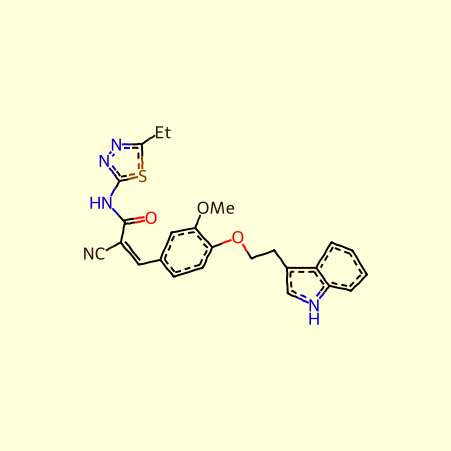 CCc1nnc(NC(=O)C(C#N)=Cc2ccc(OCCc3c[nH]c4ccccc34)c(OC)c2)s1